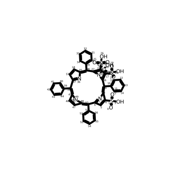 O=S(=O)(O)C1=Cc2nc1c(-c1ccccc1)c1c(S(=O)(=O)O)c(S(=O)(=O)O)c(c(-c3ccccc3)c3nc(c(-c4ccccc4)c4ccc([nH]4)c2-c2ccccc2)C=C3)n1S(=O)(=O)O